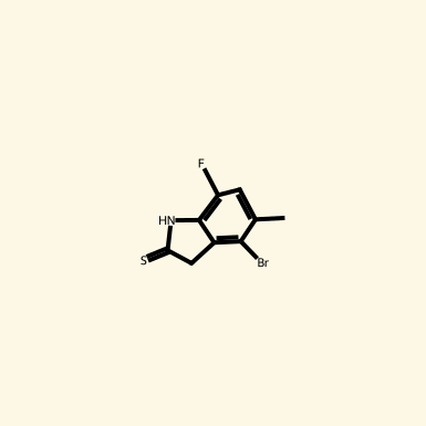 Cc1cc(F)c2c(c1Br)CC(=S)N2